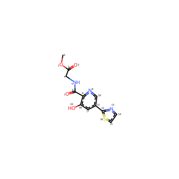 COC(=O)CNC(=O)c1ncc(-c2nccs2)cc1O